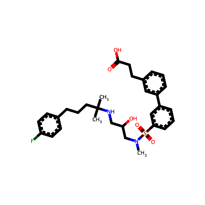 CN(CC(O)CNC(C)(C)CCCc1ccc(F)cc1)S(=O)(=O)c1cccc(-c2cccc(CCC(=O)O)c2)c1